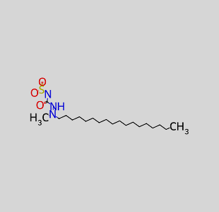 CCCCCCCCCCCCCCCCCCN(C)NC(=O)N=S(=O)=O